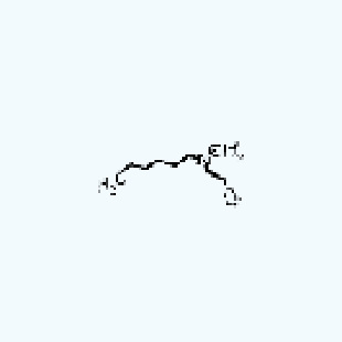 CCCCCCN(C)CC[O]